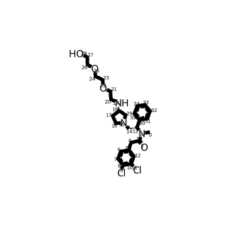 CN(C(=O)Cc1ccc(Cl)c(Cl)c1)[C@H](CN1CC[C@H](NCCOCCOCCO)C1)c1ccccc1